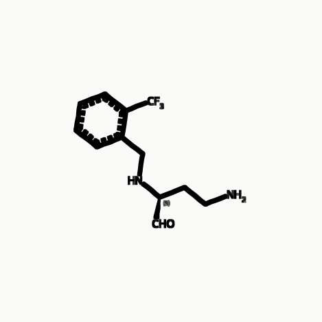 NCC[C@@H](C=O)NCc1ccccc1C(F)(F)F